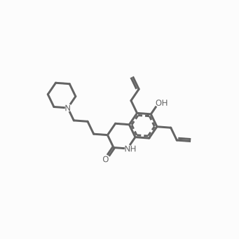 C=CCc1cc2c(c(CC=C)c1O)CC(CCCN1CCCCC1)C(=O)N2